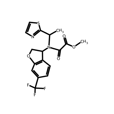 COC(=O)C(=O)N(C(C)c1nccs1)C1COc2cc(C(F)(F)F)ccc21